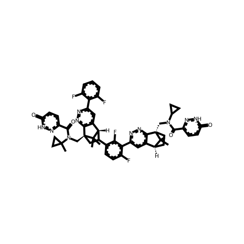 CC1(N(C[C@@]23CC(c4ccc(F)c(-c5cc6c(nn5)[C@@]5(CN(C(=O)c7ccc(=O)[nH]n7)C7CC7)CC[C@@H]6C5(C)C)c4F)[C@@H](c4cc(-c5c(F)cccc5F)nnc42)C3(C)C)C(=O)c2ccc(=O)[nH]n2)CC1